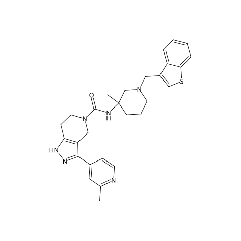 Cc1cc(-c2n[nH]c3c2CN(C(=O)NC2(C)CCCN(Cc4csc5ccccc45)C2)CC3)ccn1